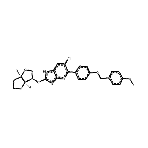 COc1ccc(COc2ccc(-c3nc4nc(O[C@@H]5CO[C@@H]6CCO[C@@H]65)[nH]c4cc3Cl)cc2)cc1